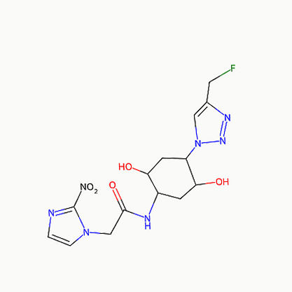 O=C(Cn1ccnc1[N+](=O)[O-])NC1CC(O)C(n2cc(CF)nn2)CC1O